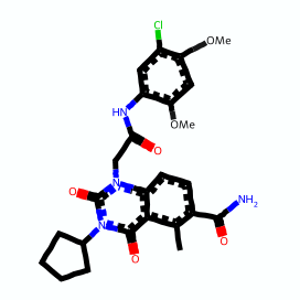 COc1cc(OC)c(NC(=O)Cn2c(=O)n(C3CCCC3)c(=O)c3c(C)c(C(N)=O)ccc32)cc1Cl